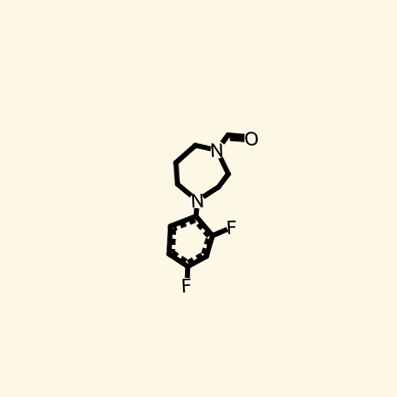 O=CN1CCCN(c2ccc(F)cc2F)CC1